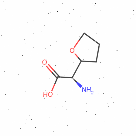 N[C@@H](C(=O)O)C1CCCO1